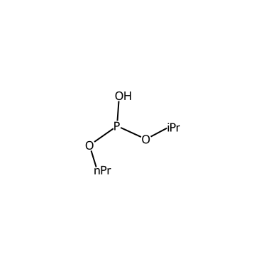 CCCOP(O)OC(C)C